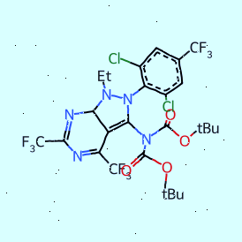 CCN1C2N=C(C(F)(F)F)N=C(C(F)(F)F)C2=C(N(C(=O)OC(C)(C)C)C(=O)OC(C)(C)C)N1c1c(Cl)cc(C(F)(F)F)cc1Cl